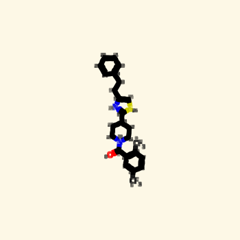 O=C(c1cc(C(F)(F)F)ccc1C(F)(F)F)N1CCC(c2nc(CCc3ccccc3)cs2)CC1